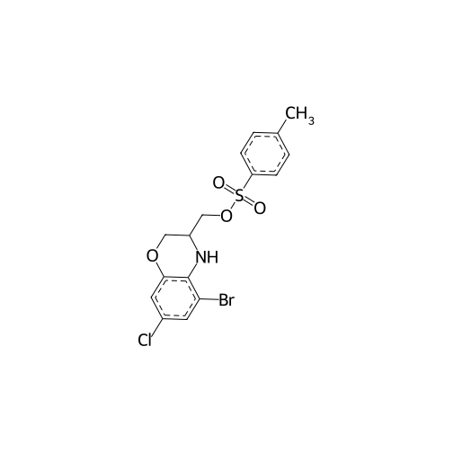 Cc1ccc(S(=O)(=O)OCC2COc3cc(Cl)cc(Br)c3N2)cc1